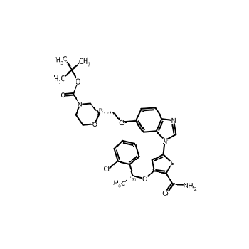 C[C@@H](Oc1cc(-n2cnc3ccc(OC[C@H]4CN(C(=O)OC(C)(C)C)CCO4)cc32)sc1C(N)=O)c1ccccc1Cl